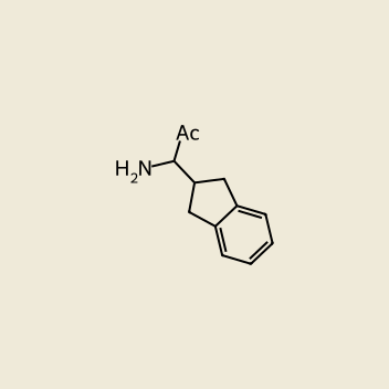 CC(=O)C(N)C1Cc2ccccc2C1